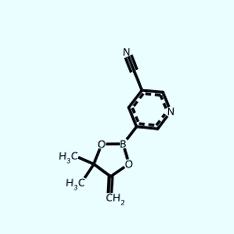 C=C1OB(c2cncc(C#N)c2)OC1(C)C